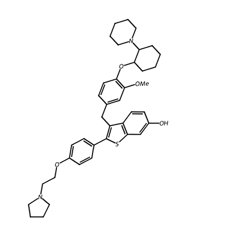 COc1cc(Cc2c(-c3ccc(OCCN4CCCC4)cc3)sc3cc(O)ccc23)ccc1OC1CCCCC1N1CCCCC1